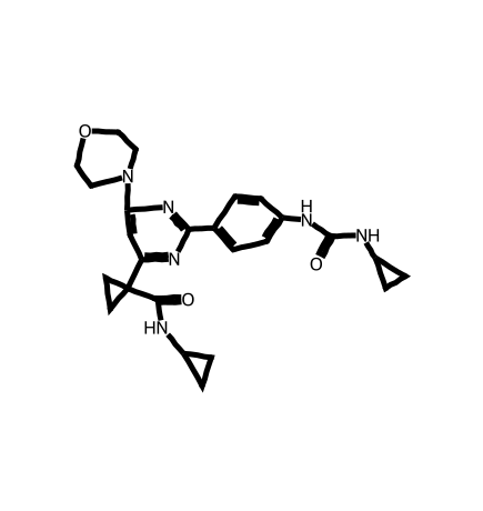 O=C(Nc1ccc(-c2nc(N3CCOCC3)cc(C3(C(=O)NC4CC4)CC3)n2)cc1)NC1CC1